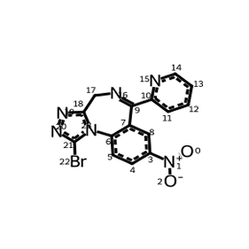 O=[N+]([O-])c1ccc2c(c1)C(c1ccccn1)=NCc1nnc(Br)n1-2